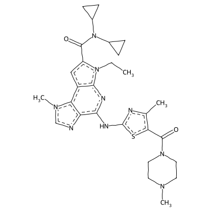 CCn1c(C(=O)N(C2CC2)C2CC2)cc2c3c(ncn3C)c(Nc3nc(C)c(C(=O)N4CCN(C)CC4)s3)nc21